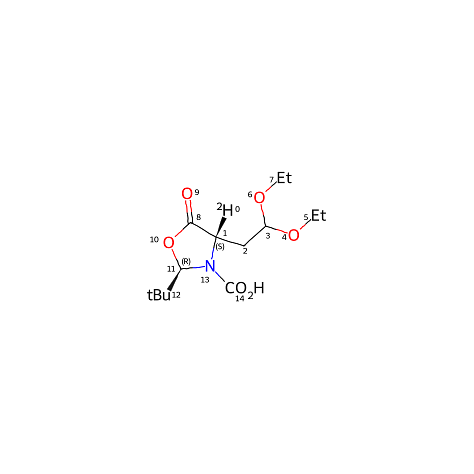 [2H][C@]1(CC(OCC)OCC)C(=O)O[C@H](C(C)(C)C)N1C(=O)O